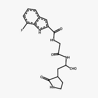 O=CC(CC1CCNC1=O)NC(=O)CNC(=O)c1cc2cccc(F)c2[nH]1